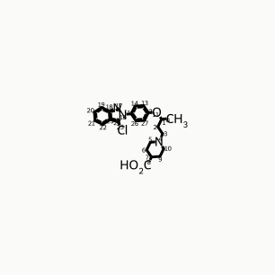 CC(CCN1CCC(C(=O)O)CC1)Oc1ccc(-n2nc3ccccc3c2Cl)cc1